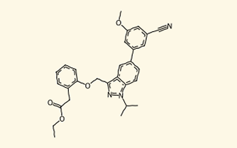 CCOC(=O)Cc1ccccc1OCc1nn(C(C)C)c2ccc(-c3cc(C#N)cc(OC)c3)cc12